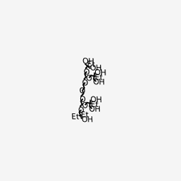 CCC(CC)(CO)COCC(COCCOCCOCC(COCC(CC)(CO)CO)OCC(CC)(CO)CO)OCC(CC)(CO)CO